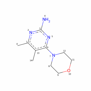 Cc1nc(N)nc(N2CCOCC2)c1C